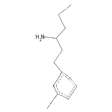 CCCC(N)CCc1cccc(C)c1